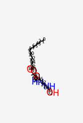 CCCCCCCC/C=C\CCCCCCCC(=O)OCc1ccc(CNCCNCCO)o1